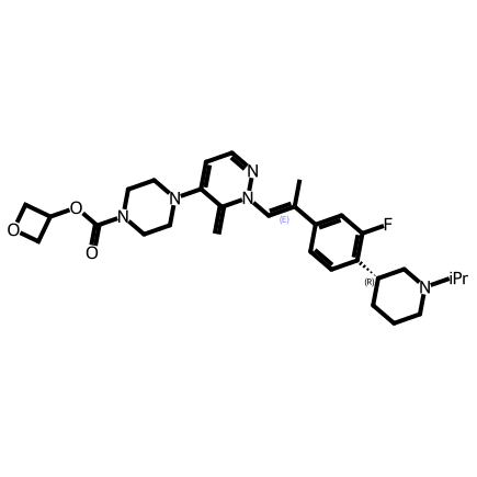 C=C1C(N2CCN(C(=O)OC3COC3)CC2)=CC=NN1/C=C(\C)c1ccc([C@H]2CCCN(C(C)C)C2)c(F)c1